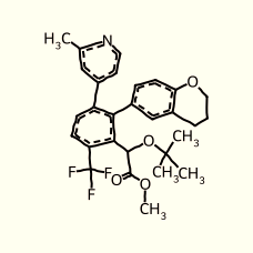 COC(=O)C(OC(C)(C)C)c1c(C(F)(F)F)ccc(-c2ccnc(C)c2)c1-c1ccc2c(c1)CCCO2